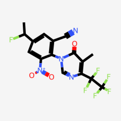 Cc1c(C(F)(F)C(F)(F)F)ncn(-c2c(C#N)cc(C(C)F)cc2[N+](=O)[O-])c1=O